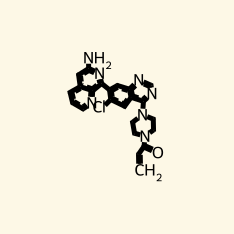 C=CC(=O)N1CCN(c2ncnc3cc(-c4nc(N)cc5cccnc45)c(Cl)cc23)CC1